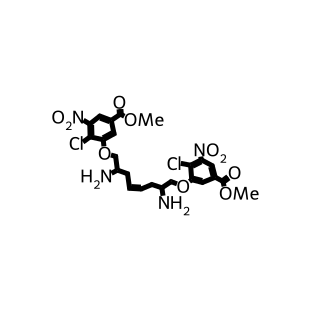 COC(=O)c1cc(OCC(N)C/C=C\CC(N)COc2cc(C(=O)OC)cc([N+](=O)[O-])c2Cl)c(Cl)c([N+](=O)[O-])c1